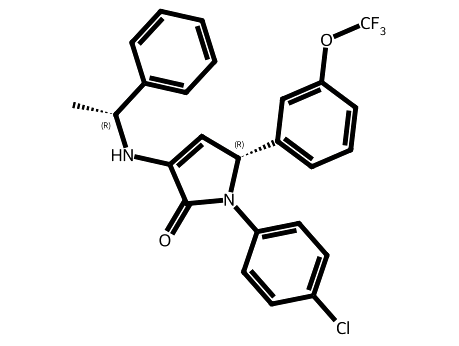 C[C@@H](NC1=C[C@H](c2cccc(OC(F)(F)F)c2)N(c2ccc(Cl)cc2)C1=O)c1ccccc1